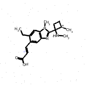 CCc1cc2c(cc1/C=C/C(=O)O)nc(C1(NC)CC[C@H]1C)n2C